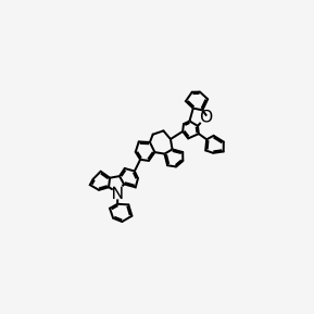 c1ccc(-c2cc(C3CCc4ccc(-c5ccc6c(c5)c5ccccc5n6-c5ccccc5)cc4-c4ccccc43)cc3c2oc2ccccc23)cc1